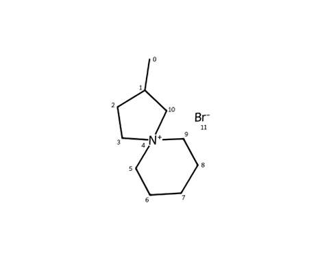 CC1CC[N+]2(CCCCC2)C1.[Br-]